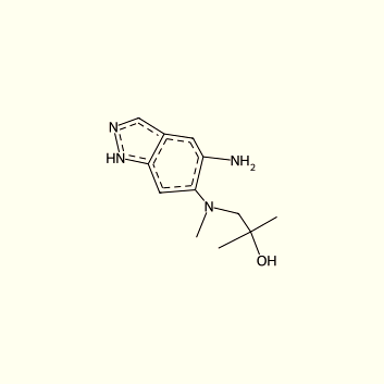 CN(CC(C)(C)O)c1cc2[nH]ncc2cc1N